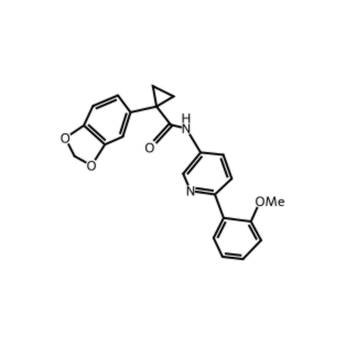 COc1ccccc1-c1ccc(NC(=O)C2(c3ccc4c(c3)OCO4)CC2)cn1